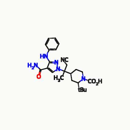 CC(C)(C)C1CC(C(C)(CC#N)n2cc(C(N)=O)c(Nc3ccccc3)n2)CCN1C(=O)O